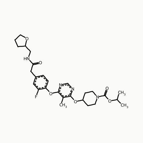 Cc1c(Oc2ccc(CC(=O)NCC3CCCO3)cc2F)ncnc1OC1CCN(C(=O)OC(C)C)CC1